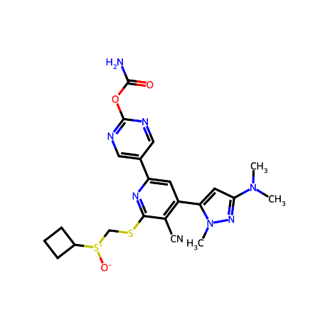 CN(C)c1cc(-c2cc(-c3cnc(OC(N)=O)nc3)nc(SC[S+]([O-])C3CCC3)c2C#N)n(C)n1